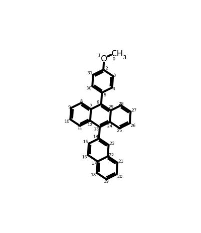 COc1ccc(-c2c3ccccc3c(-c3ccc4ccccc4c3)c3ccccc23)cc1